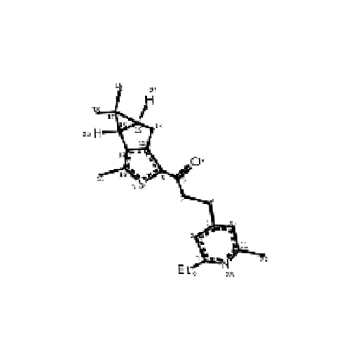 CCc1cc(CCC(=O)c2sc(C)c3c2C[C@@H]2[C@H]3C2(C)C)cc(C)n1